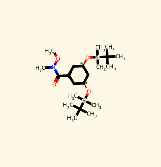 CON(C)C(=O)C1C[C@@H](O[Si](C)(C)C(C)(C)C)C[C@H](O[Si](C)(C)C(C)(C)C)C1